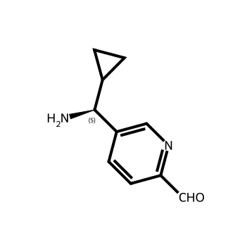 N[C@H](c1ccc(C=O)nc1)C1CC1